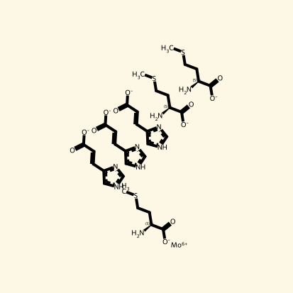 CSCC[C@H](N)C(=O)[O-].CSCC[C@H](N)C(=O)[O-].CSCC[C@H](N)C(=O)[O-].O=C([O-])C=Cc1c[nH]cn1.O=C([O-])C=Cc1c[nH]cn1.O=C([O-])C=Cc1c[nH]cn1.[Mo+6]